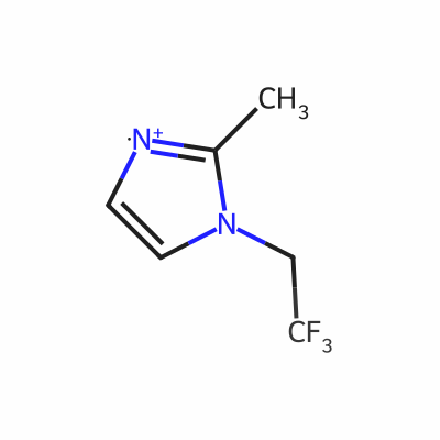 CC1=[N+]C=CN1CC(F)(F)F